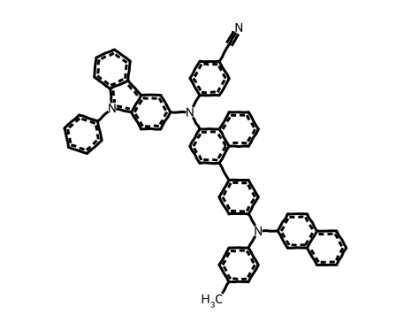 Cc1ccc(N(c2ccc(-c3ccc(N(c4ccc(C#N)cc4)c4ccc5c(c4)c4ccccc4n5-c4ccccc4)c4ccccc34)cc2)c2ccc3ccccc3c2)cc1